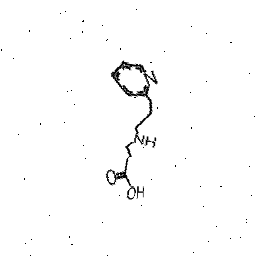 O=C(O)CCNCCc1ccccn1